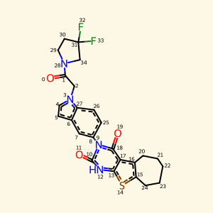 O=C(Cn1ccc2cc(-n3c(=O)[nH]c4sc5c(c4c3=O)CCCCC5)ccc21)N1CCC(F)(F)C1